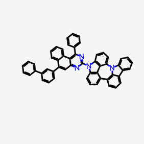 c1ccc(-c2cccc(-c3cc4nc(-n5c6cccc7c8cccc9c%10ccccc%10n(c%10cccc5c%10c76)c89)nc(-c5ccccc5)c4c4ccccc34)c2)cc1